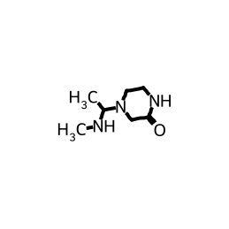 CNC(C)N1CCNC(=O)C1